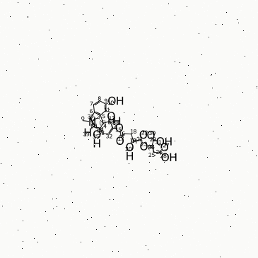 CN1CC[C@]23c4c5ccc(O)c4O[C@H]2C(OC(=O)C[C@H](O)C(=O)O[C@H](CC(=O)O)C(=O)O)=CC[C@@]3(O)[C@H]1C5